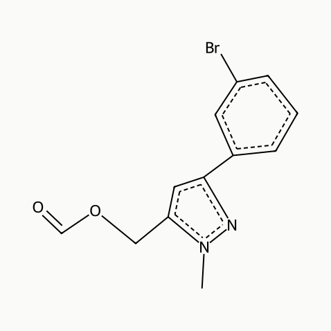 Cn1nc(-c2cccc(Br)c2)cc1COC=O